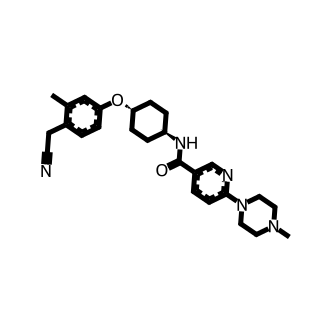 Cc1cc(O[C@H]2CC[C@H](NC(=O)c3ccc(N4CCN(C)CC4)nc3)CC2)ccc1CC#N